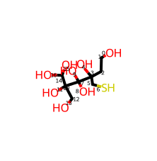 OCCC(O)(CS)C(O)(O)C(O)(CO)C(O)O